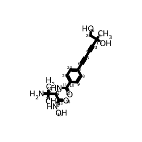 CC(O)(C#CC#Cc1ccc(C(=O)N[C@H](C(=O)NO)C(C)(C)N)cc1)CO